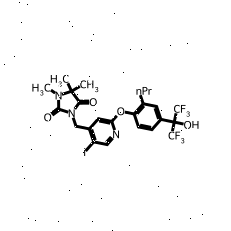 CCCc1cc(C(O)(C(F)(F)F)C(F)(F)F)ccc1Oc1cc(CN2C(=O)N(C)C(C)(C)C2=O)c(I)cn1